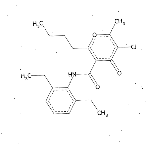 CCCCc1oc(C)c(Cl)c(=O)c1C(=O)Nc1c(CC)cccc1CC